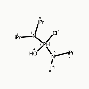 CC(C)N(C(C)C)[PH](O)(Cl)N(C(C)C)C(C)C